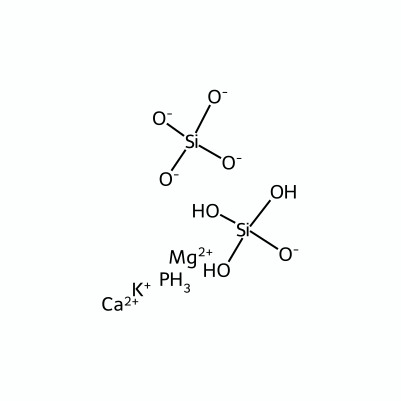 P.[Ca+2].[K+].[Mg+2].[O-][Si](O)(O)O.[O-][Si]([O-])([O-])[O-]